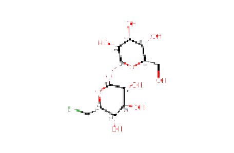 OC[C@H]1O[C@H](O[C@H]2O[C@H](CBr)[C@@H](O)[C@H](O)[C@H]2O)[C@H](O)[C@@H](O)[C@@H]1O